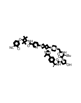 Cc1ncsc1-c1ccc([C@H](C)NC(=O)[C@@H]2C[C@@H](O)CN2C(=O)[C@@H](NC(=O)CN2CCN(C3CC4(C3)CN(c3ccc(C(=O)N[C@H]5C(C)(C)[C@H](Oc6ccc(C#N)c(Cl)c6)C5(C)C)cn3)C4)CC2)C(C)(C)C)cc1